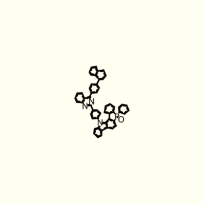 O=P1(c2ccccc2)c2ccccc2-c2c1ccc1c3ccccc3n(-c3ccc(-c4nc(-c5ccc(-c6cccc7ccccc67)cc5)c5ccccc5n4)cc3)c21